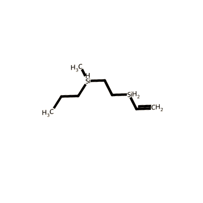 C=C[SiH2]CC[SiH](C)CCC